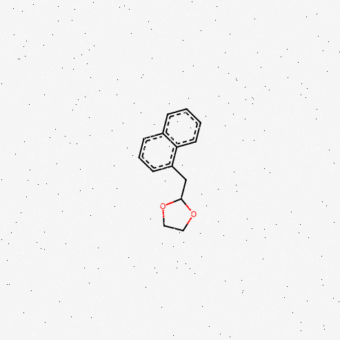 c1ccc2c(CC3OCCO3)cccc2c1